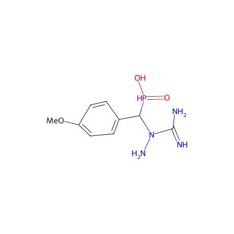 COc1ccc(C(N(N)C(=N)N)[PH](=O)O)cc1